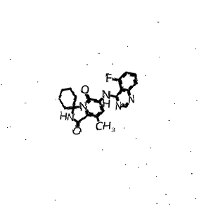 Cc1cc(Nc2ncnc3cccc(F)c23)c(=O)n2c1C(=O)NC21CCCCC1